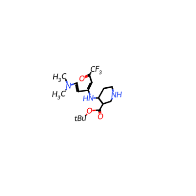 CN(C)C=CC(=CC(=O)C(F)(F)F)NC1CCNCC1C(=O)OC(C)(C)C